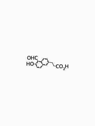 O=Cc1c(O)ccc2cc(CCC(=O)O)ccc12